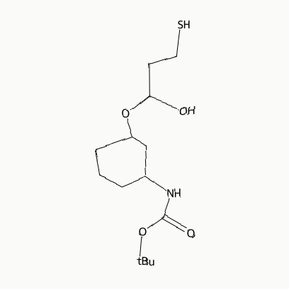 CC(C)(C)OC(=O)NC1CCCC(OC(O)CCS)C1